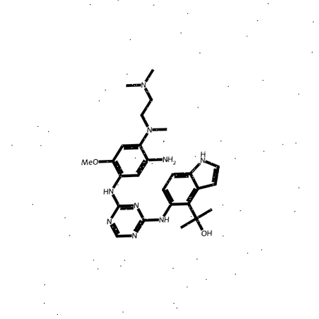 COc1cc(N(C)CCN(C)C)c(N)cc1Nc1ncnc(Nc2ccc3[nH]ccc3c2C(C)(C)O)n1